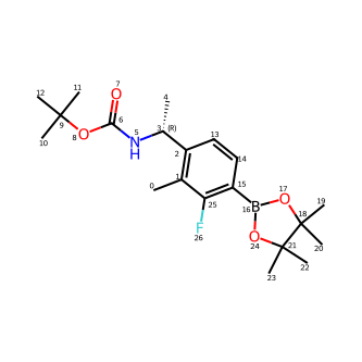 Cc1c([C@@H](C)NC(=O)OC(C)(C)C)ccc(B2OC(C)(C)C(C)(C)O2)c1F